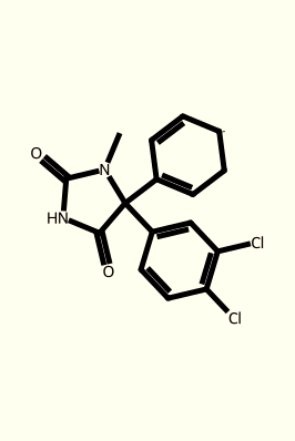 CN1C(=O)NC(=O)C1(C1=CC[CH]C=C1)c1ccc(Cl)c(Cl)c1